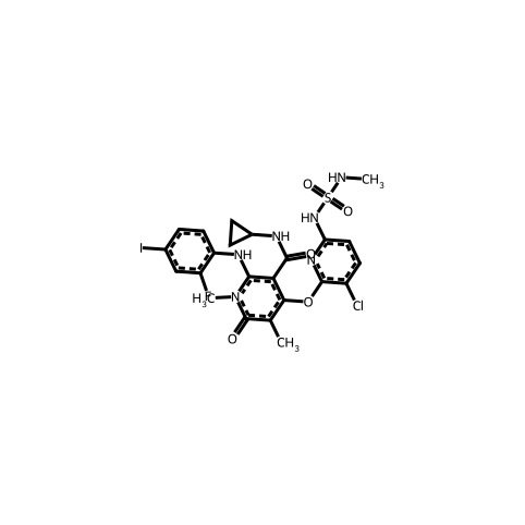 CNS(=O)(=O)Nc1ccc(Cl)c(Oc2c(C(=O)NC3CC3)c(Nc3ccc(I)cc3F)n(C)c(=O)c2C)n1